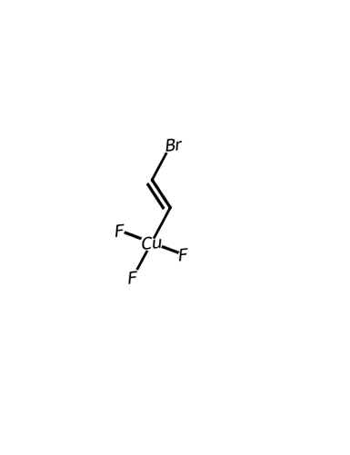 [F][Cu]([F])([F])[CH]=CBr